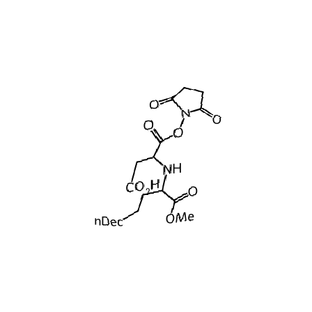 CCCCCCCCCCCCC(NC(CC(=O)O)C(=O)ON1C(=O)CCC1=O)C(=O)OC